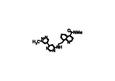 CNC(=O)c1ccnc2c(CCNc3cc(-c4cnnc(C)c4)ncn3)cccc12